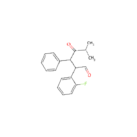 CC(C)C(=O)C(c1ccccc1)C(C=O)c1ccccc1F